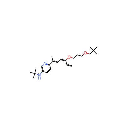 C=C/C(=C\C=C(/C)c1ccc(NC(C)(C)C)cn1)OCCCOCC(C)(C)C